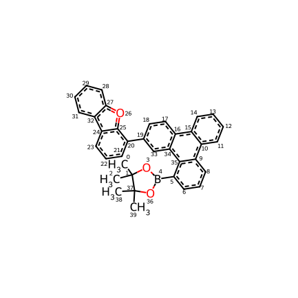 CC1(C)OB(c2cccc3c4ccccc4c4ccc(-c5cccc6c5oc5ccccc56)cc4c23)OC1(C)C